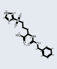 O=C(NC(CCCS(=O)(=O)c1nc[nH]n1)C(=O)O)OCc1ccccc1